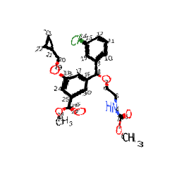 COC(=O)NCCOC(c1cccc(Cl)c1)c1cc(OCC2CC2)cc(C(=O)OC)c1